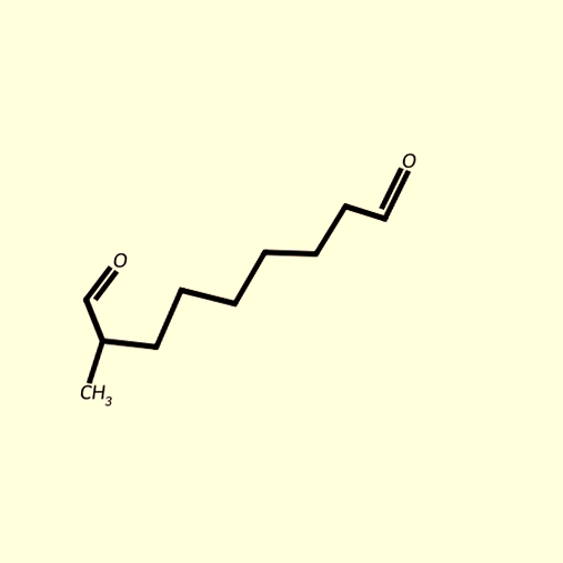 CC(C=O)CCCCCCC=O